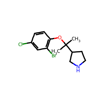 CC(C)(Oc1ccc(Cl)cc1Br)C1CCNC1